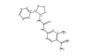 N=C(N)c1cnc(NC(=O)NC2CCCC2c2ccccc2)cc1N